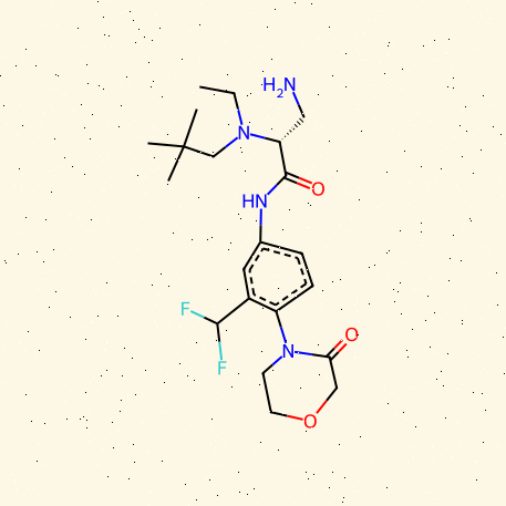 CCN(CC(C)(C)C)[C@H](CN)C(=O)Nc1ccc(N2CCOCC2=O)c(C(F)F)c1